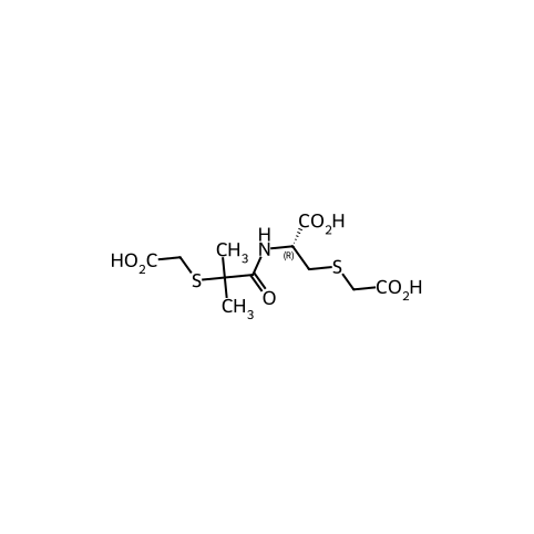 CC(C)(SCC(=O)O)C(=O)N[C@@H](CSCC(=O)O)C(=O)O